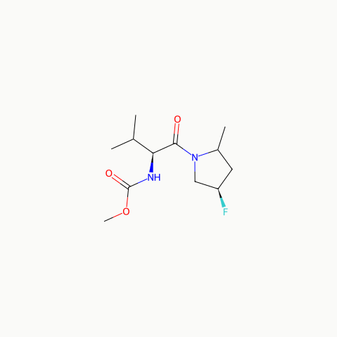 COC(=O)N[C@H](C(=O)N1C[C@H](F)CC1C)C(C)C